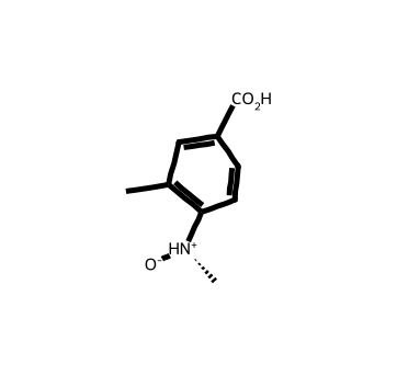 Cc1cc(C(=O)O)ccc1[N@H+](C)[O-]